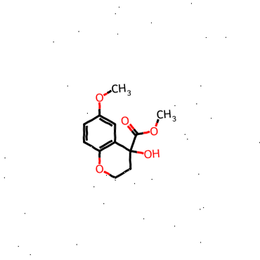 COC(=O)C1(O)CCOc2ccc(OC)cc21